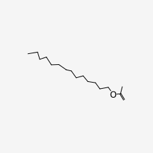 C=C(C)OCCCCCCCCCCCCCC